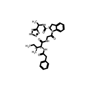 CC[C@H](C)[C@H](NC(=O)Cc1ccccc1)C(=O)NCC(=O)N1c2ccccc2C[C@H]1C(=O)NC(C)c1nn[nH]n1